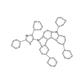 c1ccc(-c2ccc3c(c2)c2c4c5cc(-c6ccccc6)ccc5n(-c5sc(-c6ccccc6)nc5-c5ccccc5)c4ccc2n3-c2ccccc2)cc1